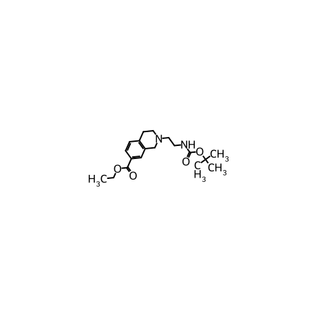 CCOC(=O)c1ccc2c(c1)CN(CCNC(=O)OC(C)(C)C)CC2